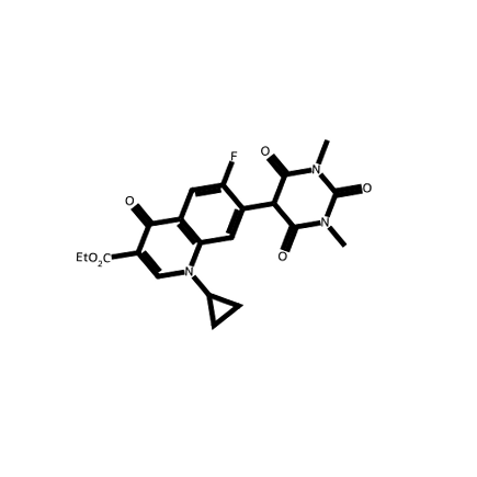 CCOC(=O)c1cn(C2CC2)c2cc(C3C(=O)N(C)C(=O)N(C)C3=O)c(F)cc2c1=O